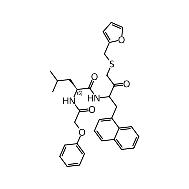 CC(C)C[C@H](NC(=O)COc1ccccc1)C(=O)NC(Cc1cccc2ccccc12)C(=O)CSCc1ccco1